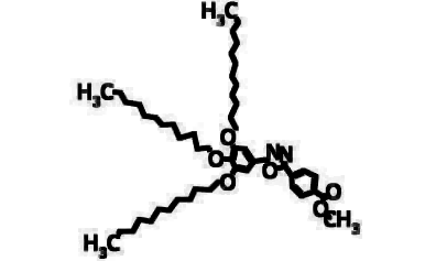 CCCCCCCCCCCCOc1cc(-c2nnc(-c3ccc(C(=O)OC)cc3)o2)cc(OCCCCCCCCCCCC)c1OCCCCCCCCCCCC